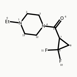 CCN1CCN(C(=O)C2CC2(F)F)CC1